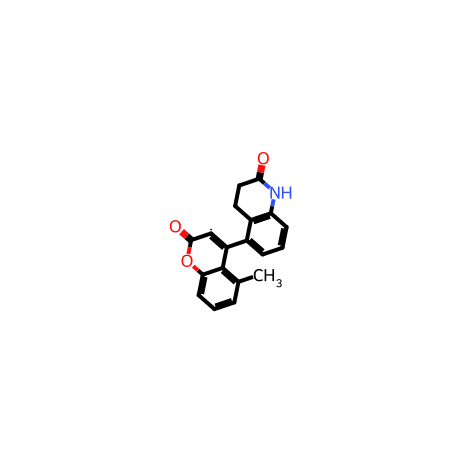 Cc1cccc2oc(=O)[c]c(-c3cccc4c3CCC(=O)N4)c12